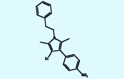 CCc1c(-c2ccc([N+](=O)[O-])cc2)c(C)n(CCc2ccccc2)c1C